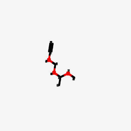 C#COCOC(C)OC